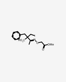 COC(=O)CON=C(C)C(CI)(Cc1ccccc1)C(=O)O